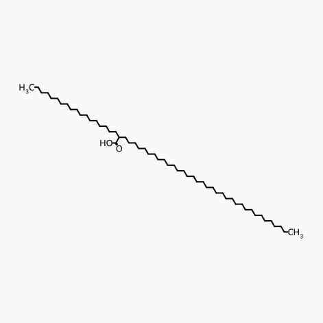 CCCCCCCCCCCCCCCCCCCCCCCCCCCCCCCCCCCC(CCCCCCCCCCCCCCCCCC)C(=O)O